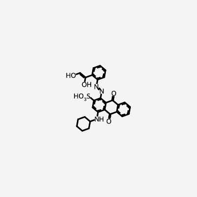 O=C1c2ccccc2C(=O)c2c(N=Nc3ccccc3C(O)=CO)c(S(=O)(=O)O)cc(NC3CCCCC3)c21